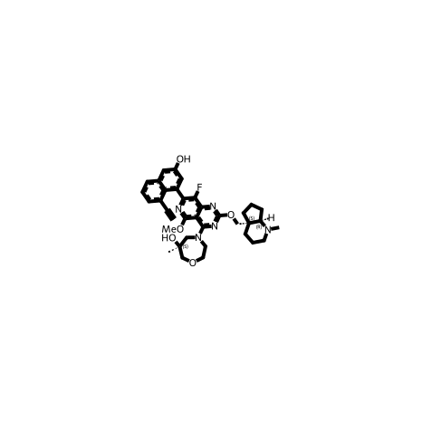 C#Cc1cccc2cc(O)cc(-c3nc(OC)c4c(N5CCOC[C@@](C)(O)C5)nc(OC[C@]56CCC[C@H]5N(C)CCC6)nc4c3F)c12